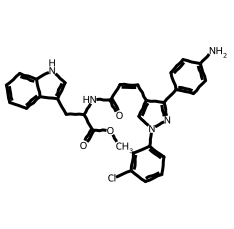 COC(=O)C(Cc1c[nH]c2ccccc12)NC(=O)/C=C\c1cn(-c2cccc(Cl)c2)nc1-c1ccc(N)cc1